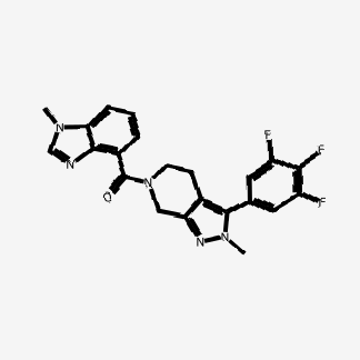 Cn1nc2c(c1-c1cc(F)c(F)c(F)c1)CCN(C(=O)c1cccc3c1ncn3C)C2